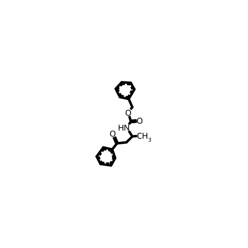 CC(CC(=O)c1ccccc1)NC(=O)OCc1ccccc1